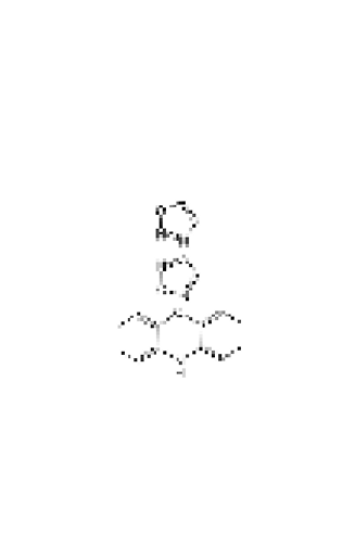 c1ccc2c(c1)Nc1ccccc1O2.c1cnon1.c1conn1